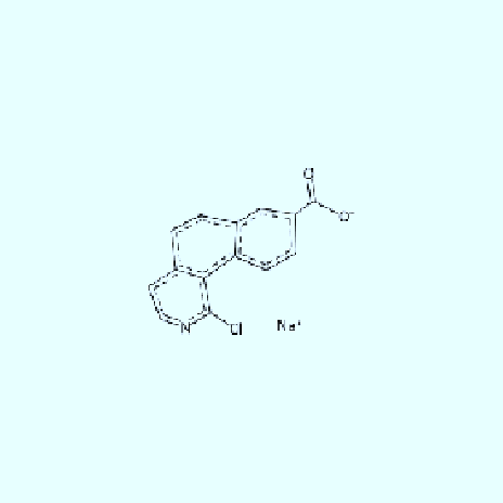 O=C([O-])c1ccc2c(ccc3ccnc(Cl)c32)c1.[Na+]